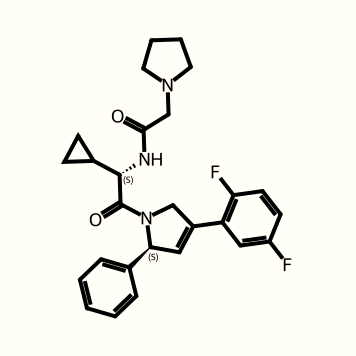 O=C(CN1CCCC1)N[C@H](C(=O)N1CC(c2cc(F)ccc2F)=C[C@H]1c1ccccc1)C1CC1